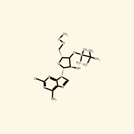 COOC[C@H]1O[C@@H](n2cnc3c(N)nc(Cl)nc32)[C@H](O)C1O[Si](C)(C)C(C)(C)C